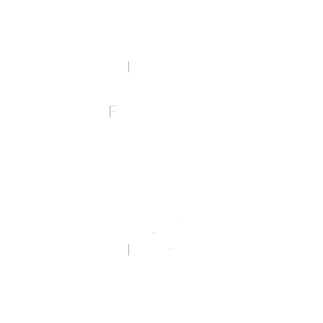 F[C](F)c1cccc2cc(OC(F)(F)F)ccc12